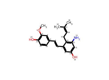 COc1cc(/C=C/c2cc(O)cc(N)c2CC=C(C)C)ccc1O